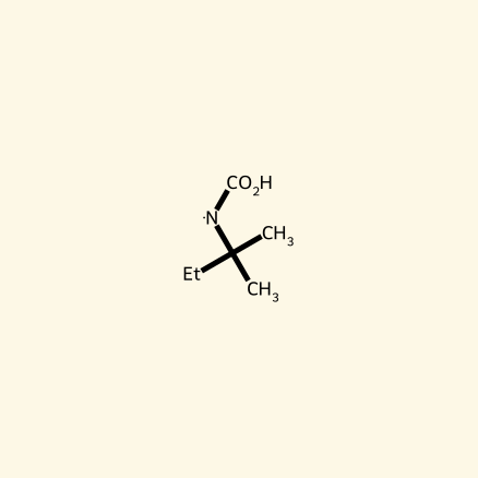 CCC(C)(C)[N]C(=O)O